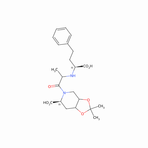 CC(N[C@@H](CCc1ccccc1)C(=O)O)C(=O)N1CC2OC(C)(C)OC2C[C@H]1C(=O)O